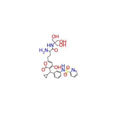 NC(CCc1cc(O)c(C(c2cccc(NS(=O)(=O)c3ccccn3)c2)C2CC2)c(=O)o1)C(=O)NC(CO)(CO)CO